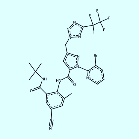 Cc1cc(C#N)cc(C(=O)NC(C)(C)C)c1NC(=O)c1cc(Cn2nnc(C(F)(F)C(F)(F)F)n2)nn1-c1ncccc1Br